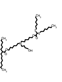 CCCCCCCCC(CCCCCC)C(=O)OCCCCCCN(CCCCO)CCCCCCOC(=O)C(SCCCCCCC)SCCCCCCC